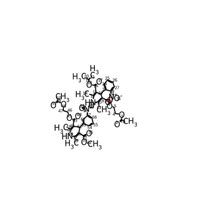 CC(=O)OCCOC(=O)C1=C(C)NC(C)=C(C(=O)OC(C)C)C1c1ccccc1[N+](=O)[O-].COC(=O)C1=C(C)NC(C)=C(C(=O)OCCOC(C)=O)C1c1cccc([N+](=O)[O-])c1